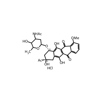 COc1cccc2c1C(=O)c1c(O)c3c(c(O)c1C2=O)C[C@@](O)(C(C)=O)C[C@@H]3OC1CC(NC(C)=O)C(O)C(C)O1.Cl